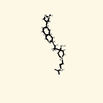 CC(C)OCCN1CCC(F)(C(=O)Cc2cc3cc(-c4cnn(C)c4)ccc3cn2)CC1